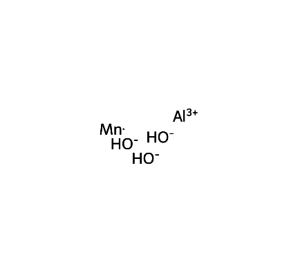 [Al+3].[Mn].[OH-].[OH-].[OH-]